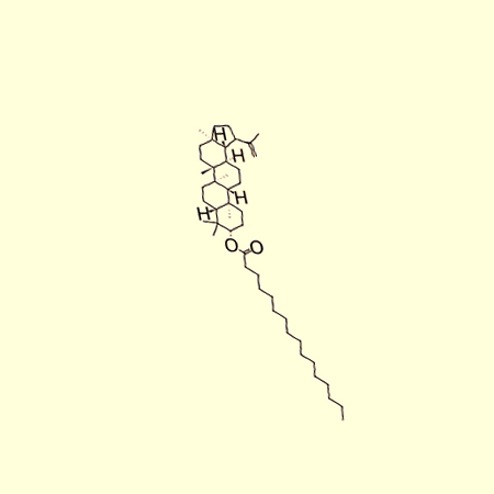 C=C(C)[C@@H]1CC[C@]2(C)CC[C@]3(C)[C@H](CC[C@@H]4[C@@]5(C)CC[C@H](OC(=O)CCCCCCCCCCCCCCC)C(C)(C)[C@@H]5CC[C@]43C)[C@@H]12